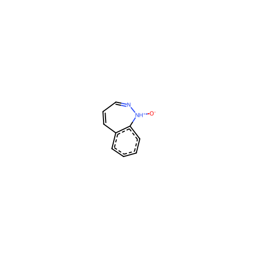 [O-][NH+]1N=CC=Cc2ccccc21